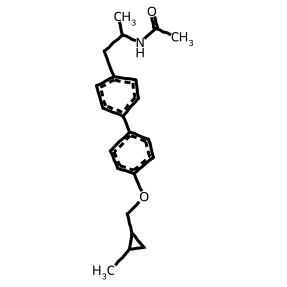 CC(=O)NC(C)Cc1ccc(-c2ccc(OCC3CC3C)cc2)cc1